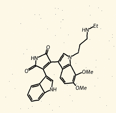 CCNCCCn1cc(C2=C(c3c[nH]c4ccccc34)C(=O)NC2=O)c2ccc(OC)c(OC)c21